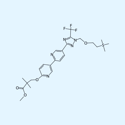 COC(=O)C(C)(C)COc1ccc(-c2ccc(-c3nc(C(F)(F)F)n(COCCS(C)(C)C)n3)cn2)cn1